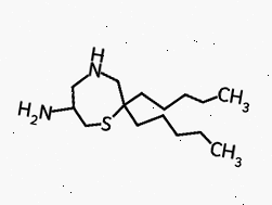 CCCCCC1(CCCCC)CNCC(N)CS1